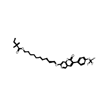 CCC(C)(C)C(=O)OCCCCCCCCCCOc1cc2oc(=O)c(-c3ccc(OC(F)(F)F)cc3)cc2cn1